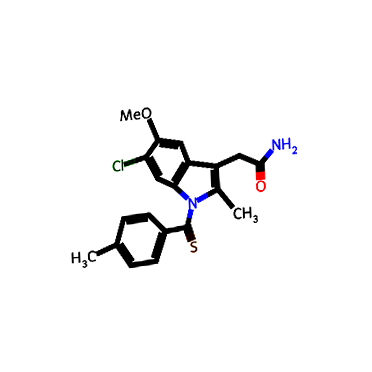 COc1cc2c(CC(N)=O)c(C)n(C(=S)c3ccc(C)cc3)c2cc1Cl